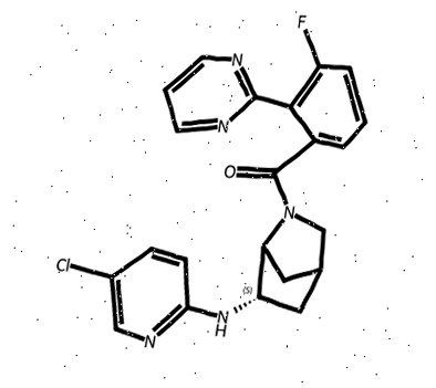 O=C(c1cccc(F)c1-c1ncccn1)N1CC2CC1[C@@H](Nc1ccc(Cl)cn1)C2